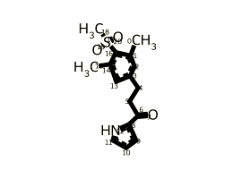 Cc1cc(CCC(=O)c2ccc[nH]2)cc(C)c1S(C)(=O)=O